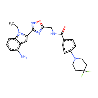 Nc1cccc2c1cc(-c1noc(CNC(=O)c3ccc(N4CCC(F)(F)CC4)cc3)n1)n2CC(F)(F)F